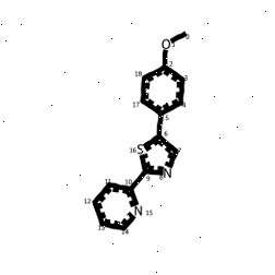 COc1ccc(-c2cnc(-c3ccccn3)s2)cc1